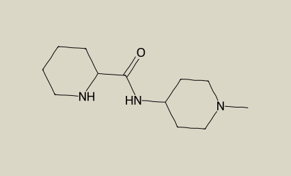 CN1CCC(NC(=O)C2CCCCN2)CC1